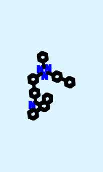 c1ccc(-c2ccc(-c3nc(-c4ccccc4)nc(-c4cccc(-c5ccc(-c6nc7ccccc7c7ccc8ccccc8c67)cc5)c4)n3)cc2)cc1